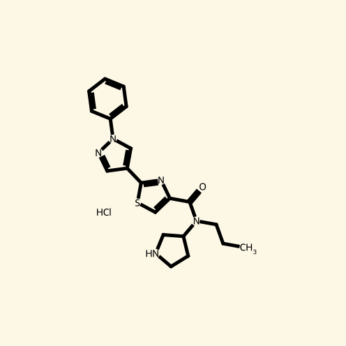 CCCN(C(=O)c1csc(-c2cnn(-c3ccccc3)c2)n1)C1CCNC1.Cl